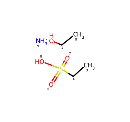 CCO.CCS(=O)(=O)O.N